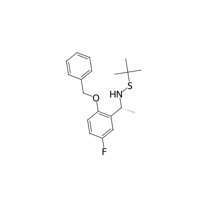 C[C@@H](NSC(C)(C)C)c1cc(F)ccc1OCc1ccccc1